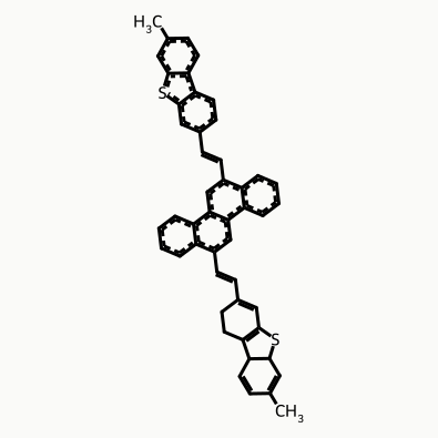 CC1=CC2SC3=C(CCC(/C=C/c4cc5c6ccccc6c(/C=C/c6ccc7c(c6)sc6cc(C)ccc67)cc5c5ccccc45)=C3)C2C=C1